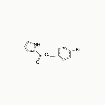 O=C(OCc1ccc(Br)cc1)c1ccc[nH]1